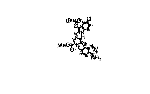 COC(=O)C1CN(Cc2[nH]c3ccc(Cl)cc3c2OC(=O)C(C)(C)C)CC(=O)N1Cc1ccc2c(N)ncnc2c1